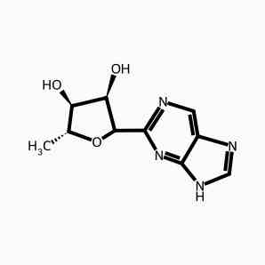 C[C@H]1OC(c2ncc3nc[nH]c3n2)[C@H](O)[C@@H]1O